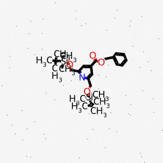 CC(C)(C)[Si](C)(C)OCc1cc(C(=O)OCc2ccccc2)cc(CO[Si](C)(C)C(C)(C)C)n1